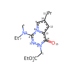 CCOC(=O)Cn1nc(N(C)CC)n2cc(C(C)C)cc2c1=O